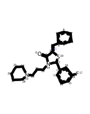 O=C1/C(=C/c2ccccc2)SC(c2cccc(F)c2)N1CCCN1CCCCC1